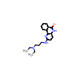 CCN(CC)CCCNc1ccc2[nH]c(=O)c3ccccc3c2n1